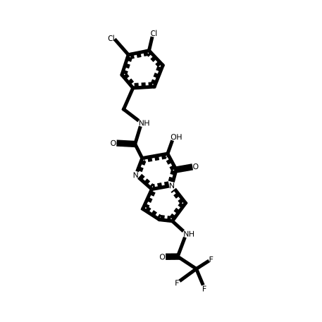 O=C(NCc1ccc(Cl)c(Cl)c1)c1nc2ccc(NC(=O)C(F)(F)F)cn2c(=O)c1O